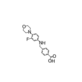 O=C(O)c1ccc(CNc2ccc(N3CCOCC3)c(F)c2)cc1